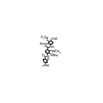 C=PCc1c(C=O)ccc(NC(=O)c2ccc(NC(=O)c3ccc(NF)cc3)c(OC)c2CP=C)c1OC